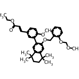 CCOC(=O)C=Cc1ccc(OC)c(-c2cc3c(cc2OCc2ccccc2OCOC)C(C)(C)CCC3(C)C)c1